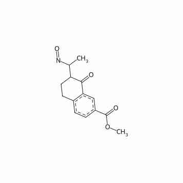 COC(=O)c1ccc2c(c1)C(=O)C(C(C)N=O)CC2